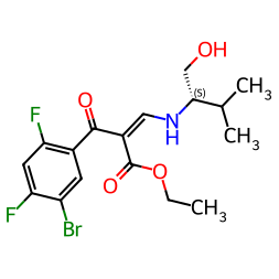 CCOC(=O)C(=CN[C@H](CO)C(C)C)C(=O)c1cc(Br)c(F)cc1F